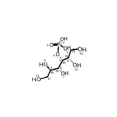 O=P(O)(O)O[C@@H]([C@H](O)[C@H](O)CO)[C@@H](O)CO